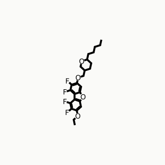 CCCCCC1CCC(COc2cc3oc4cc(OCC)c(F)c(F)c4c3c(F)c2F)CO1